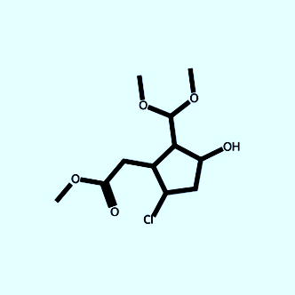 COC(=O)CC1C(Cl)CC(O)C1C(OC)OC